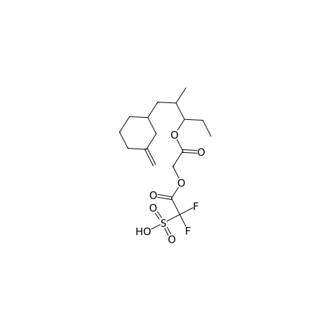 C=C1CCCC(CC(C)C(CC)OC(=O)COC(=O)C(F)(F)S(=O)(=O)O)C1